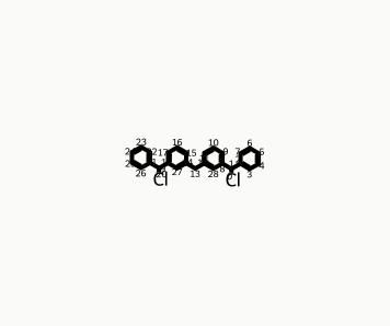 ClC(c1ccccc1)c1cccc(Cc2cccc(C(Cl)c3ccccc3)c2)c1